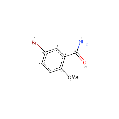 COc1c[c]c(Br)cc1C(N)=O